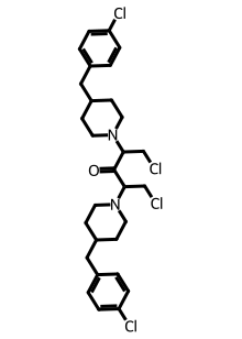 O=C(C(CCl)N1CCC(Cc2ccc(Cl)cc2)CC1)C(CCl)N1CCC(Cc2ccc(Cl)cc2)CC1